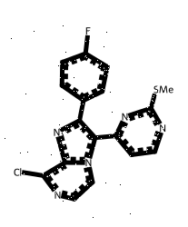 CSc1nccc(-c2c(-c3ccc(F)cc3)nc3c(Cl)nccn23)n1